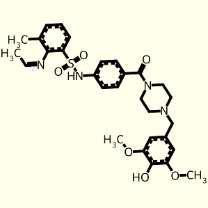 C/C=N\c1c(C)cccc1S(=O)(=O)Nc1ccc(C(=O)N2CCN(Cc3cc(OC)c(O)c(OC)c3)CC2)cc1